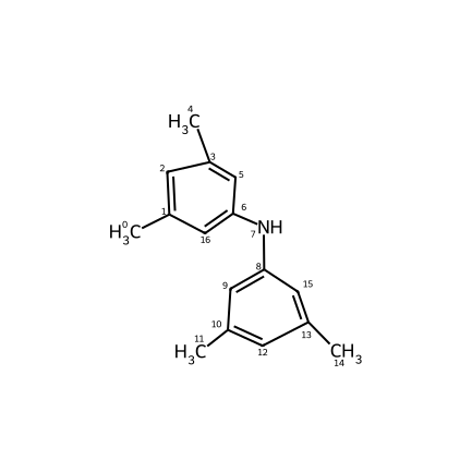 Cc1cc(C)cc(Nc2cc(C)cc(C)c2)c1